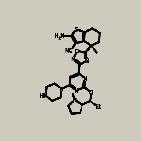 CC[C@H](Oc1nc(-c2noc([C@@]3(C)CCCc4sc(N)c(C#N)c43)n2)cc(N2CCNCC2)n1)[C@@H]1CCCN1C